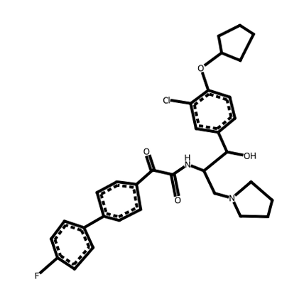 O=C(NC(CN1CCCC1)C(O)c1ccc(OC2CCCC2)c(Cl)c1)C(=O)c1ccc(-c2ccc(F)cc2)cc1